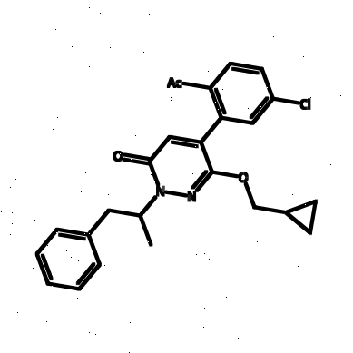 CC(=O)c1ccc(Cl)cc1-c1cc(=O)n(C(C)Cc2ccccc2)nc1OCC1CC1